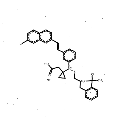 CC(C)(O)c1ccccc1CCCS[C@@H](c1cccc(C=Cc2ccc3ccc(Cl)cc3n2)c1)C1(CC(=O)O)CC1.[Na]